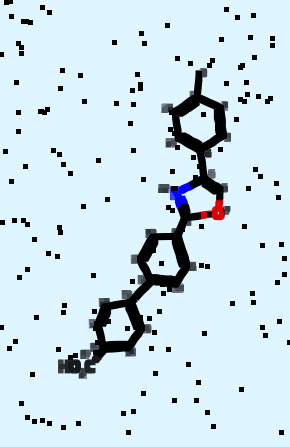 Cc1ccc(-c2coc(-c3ccc(-c4ccc(C(=O)O)cc4)cc3)n2)cc1